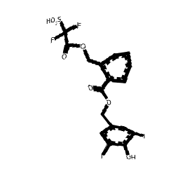 O=C(OCc1cc(I)c(O)c(I)c1)c1ccccc1COC(=O)C(F)(F)S(=O)(=O)O